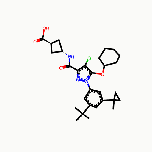 CC(C)(C)c1cc(-n2nc(C(=O)N[C@H]3C[C@H](C(=O)O)C3)c(Cl)c2OC2CCCCC2)cc(C2(C)CC2)c1